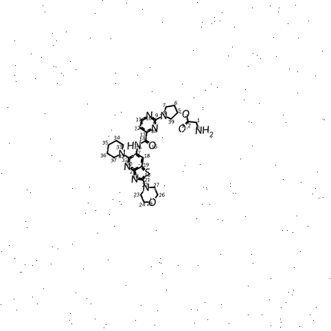 NCC(=O)O[C@H]1CCN(c2nccc(C(=O)Nc3cc4sc(N5CCOCC5)nc4nc3N3CCCCC3)n2)C1